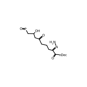 CCCCCCCCCCC(=O)C(CCCC(=O)CC(O)CP=O)=NN